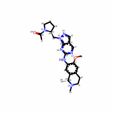 COc1cc2c(cc1Nc1ncc3cnn(C[C@@H]4CCCN4C(C)=O)c3n1)[C@@H](C)N(C)CC2